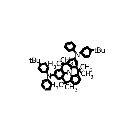 CC(C)(C)c1ccc(N(c2ccccc2)c2cc3c4c(c2)C(C)(C)c2cc(N(C5=CCC(C(C)(C)C)C=C5)c5ccccc5)cc5c2N4c2c(cccc2C3(C)C)C5(C)C)cc1